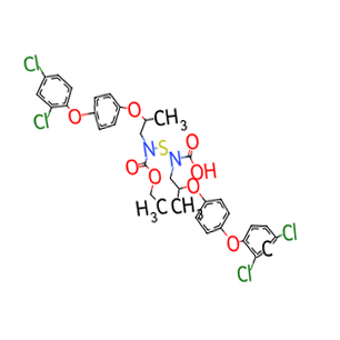 CCOC(=O)N(CC(C)Oc1ccc(Oc2ccc(Cl)cc2Cl)cc1)SN(CC(C)Oc1ccc(Oc2ccc(Cl)cc2Cl)cc1)C(=O)O